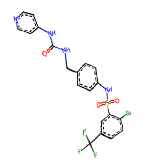 O=C(NCc1ccc(NS(=O)(=O)c2cc(C(F)(F)F)ccc2Br)cc1)Nc1ccncc1